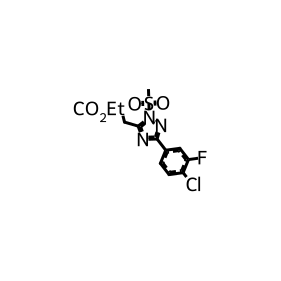 CCOC(=O)Cc1nc(-c2ccc(Cl)c(F)c2)nn1S(C)(=O)=O